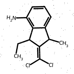 CCC1C(=C(Cl)Cl)C(C)c2cccc(N)c21